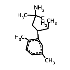 CCC(CC(C)(C)N)c1cc(C)ccc1C